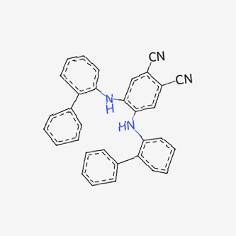 N#Cc1cc(Nc2ccccc2-c2ccccc2)c(Nc2ccccc2-c2ccccc2)cc1C#N